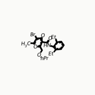 CCCOCc1oc(C)c(Br)c(=O)c1C(=O)Nc1c(CC)cccc1CC